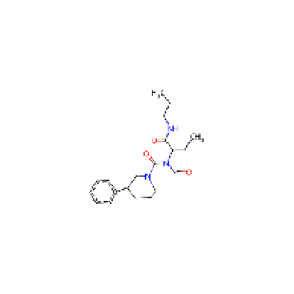 CCCNC(=O)C(CC)N(C=O)C(=O)N1CCCC(c2ccccc2)C1